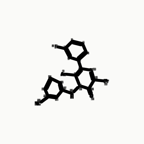 CC(=O)c1c(-c2cccc(F)c2)nc(C(C)C)c(=O)n1Nc1cccc(C#N)c1